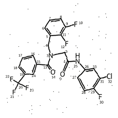 O=C(CN(Cc1cccc(F)c1F)C(=O)c1cccc(C(F)(F)F)c1)Nc1ccc(F)c(Cl)c1